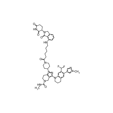 CNC(=O)N1CCc2c(c(N3CCCc4cc(-c5cnn(C)c5)c(C(F)F)cc43)nn2C2CCN(C(=O)CCCCCNc3cccc4c3C(=O)N(C3CCC(=O)NC3=O)C4)CC2)C1